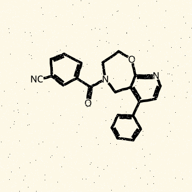 N#Cc1cccc(C(=O)N2CCOc3nccc(-c4ccccc4)c3C2)c1